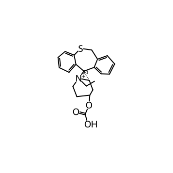 CC[N+]12CCC(OC(=O)O)CC1[C@]21c2ccccc2CSc2ccccc21